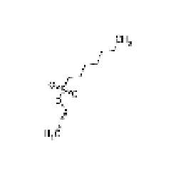 C=C=COS(=O)(=O)CCCCCCC